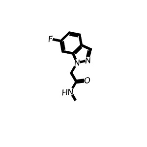 CNC(=O)Cn1ncc2ccc(F)cc21